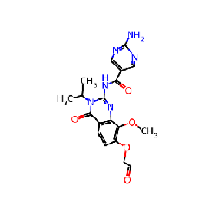 COc1c(OCC=O)ccc2c(=O)n(C(C)C)c(NC(=O)c3cnc(N)nc3)nc12